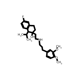 COc1ccc(CCCNCCC2(O)CCc3cc(F)ccc3C2C(C)C)cc1OC